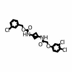 O=C(COc1ccc(Cl)c(Cl)c1)NC12CC(NC(=O)OCc3cccc(Cl)c3)(C1)C2